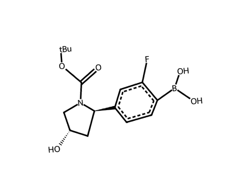 CC(C)(C)OC(=O)N1C[C@@H](O)C[C@@H]1c1ccc(B(O)O)c(F)c1